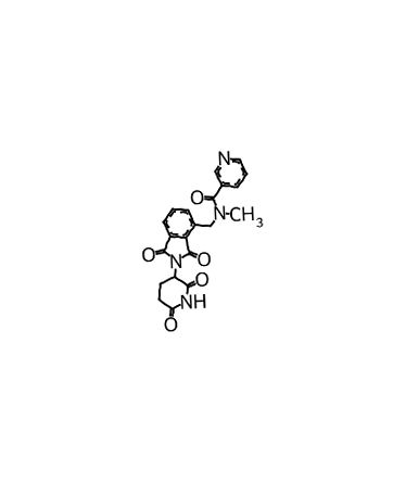 CN(Cc1cccc2c1C(=O)N(C1CCC(=O)NC1=O)C2=O)C(=O)c1cccnc1